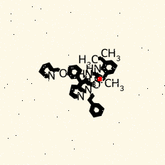 CC(C)c1cccc(C(C)C)c1NC(=O)Nc1c(-c2cccc(OCc3ccccn3)c2)c2cccnc2n(CCc2ccccc2)c1=O